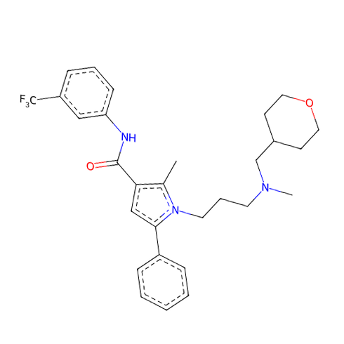 Cc1c(C(=O)Nc2cccc(C(F)(F)F)c2)cc(-c2ccccc2)n1CCCN(C)CC1CCOCC1